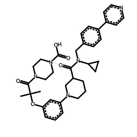 CC(C)(Oc1cccc(N2CCCC(C(=O)N(Cc3ccc(-c4ccncc4)cc3)C3CC3)C2)c1)C(=O)N1CCN(C(=O)O)CC1